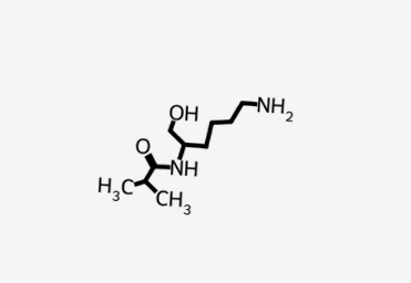 CC(C)C(=O)NC(CO)CCCCN